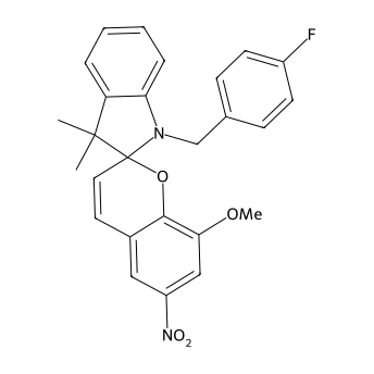 COc1cc([N+](=O)[O-])cc2c1OC1(C=C2)N(Cc2ccc(F)cc2)c2ccccc2C1(C)C